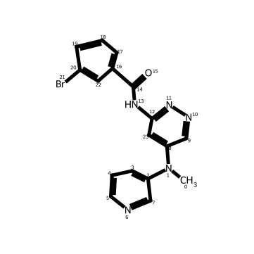 CN(c1cccnc1)c1cnnc(NC(=O)c2cccc(Br)c2)c1